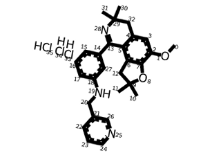 COc1cc2c(c3c1OC(C)(C)C3)C(c1cccc(NCc3cccnc3)c1)=NC(C)(C)C2.Cl.Cl.Cl